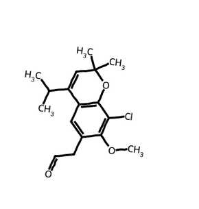 COc1c(CC=O)cc2c(c1Cl)OC(C)(C)C=C2C(C)C